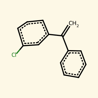 C=C(c1ccccc1)c1cccc(Cl)c1